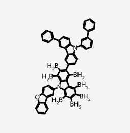 Bc1c(B)c(B)c2c(c1B)c1c(B)c(-c3ccc4c(c3)c3cc(-c5ccccc5)ccc3n4-c3cccc(-c4ccccc4)c3)c(B)c(B)c1n2-c1ccc2oc3ccccc3c2c1